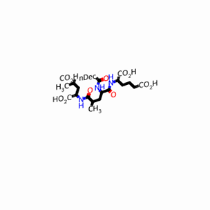 CCCCCCCCCCC(=O)NC(CC(C)C(=O)NC(CC(C)C(=O)O)C(=O)O)C(=O)NC(CCCC(=O)O)C(=O)O